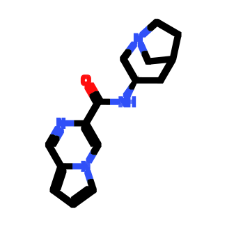 O=C(N[C@@H]1CC2CCN(C2)C1)c1cn2cccc2cn1